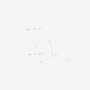 [O-][NH+]1C2CC3CC(C2)C1C3